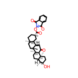 C[C@H]1[C@@H](O)CC[C@]2(C)C3C(=O)C=C4[C@@H]5C[C@@H](C(=O)ON6C(=O)c7ccccc7C6=O)CC[C@]5(C)CC[C@@]4(C)[C@]3(C)CC[C@@H]12